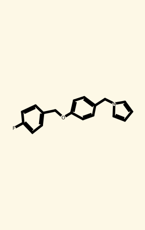 Fc1ccc(COc2ccc(Cn3cccc3)cc2)cc1